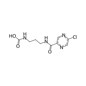 O=C(O)NCCCNC(=O)c1cnc(Cl)cn1